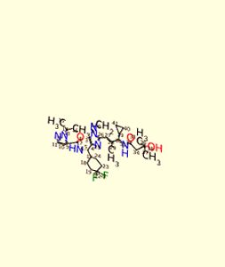 C=Nn1cc([C@@H](NC(=O)c2ccnn2C(C)C)C2CCC(F)(F)CC2)nc1/C=C(\C)C(NC(=O)CC(C)(C)O)C1CC1